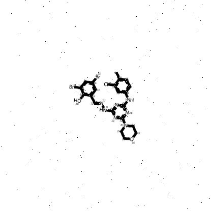 Cc1ccc(Nc2nc(N/N=C/c3cc(Br)cc(Br)c3O)nc(N3CCOCC3)n2)cc1Cl